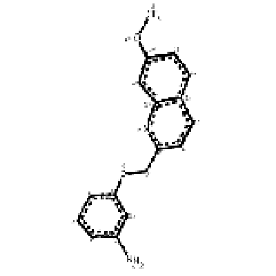 Nc1cccc(OCc2ccc3ccc(OC(F)(F)F)cc3n2)c1